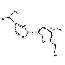 NC(=O)c1ncn([C@@H]2C[C@H](O)[C@@H](CO)O2)n1